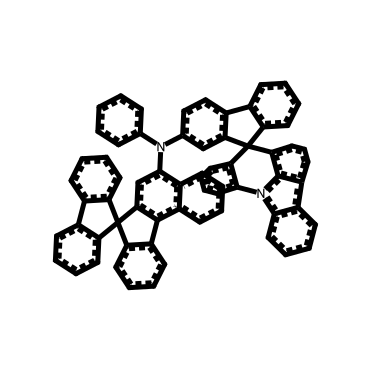 c1ccc(N(c2ccc3c(c2)C2(c4ccccc4-3)c3ccccc3-n3c4ccccc4c4cccc2c43)c2cc3c(c4ccccc24)-c2ccccc2C32c3ccccc3-c3ccccc32)cc1